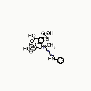 CC(/C=C/C=C/Nc1ccccc1)=[N+](/CCCS(=O)(=O)O)c1cc(S(=O)(=O)O)cc(C(=O)O)c1C